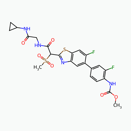 COC(=O)Nc1ccc(-c2cc3nc(C(C(=O)NCC(=O)NC4CC4)S(C)(=O)=O)sc3cc2F)cc1F